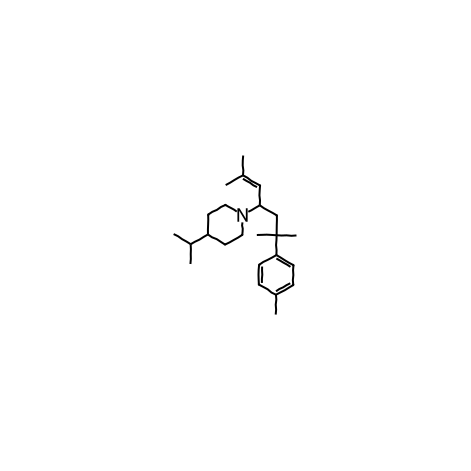 CC(C)=CC(CC(C)(C)c1ccc(C)cc1)N1CCC(C(C)C)CC1